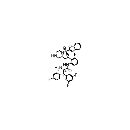 N[C@H](C(=O)Nc1cccc(F)c1CCC1CNCCN1S(=O)(=O)c1cc2ccccc2o1)[C@@H](c1ccc(F)cc1)c1cc(F)cc(F)c1